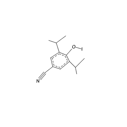 CC(C)c1cc(C#N)cc(C(C)C)c1OI